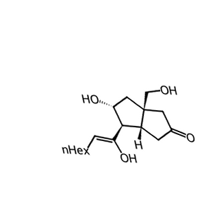 CCCCCCC=C(O)[C@H]1[C@H](O)C[C@]2(CO)CC(=O)C[C@H]12